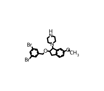 COc1ccc2c(c1)C(N1CCNCC1)C(OCc1cc(Br)cc(Br)c1)C2